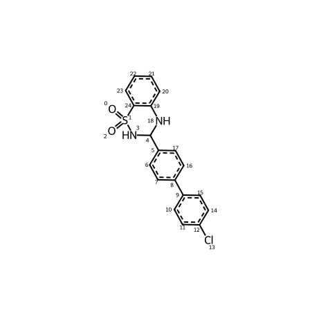 O=S1(=O)NC(c2ccc(-c3ccc(Cl)cc3)cc2)Nc2ccccc21